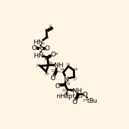 C=CCNS(=O)(=O)NC(=O)C1(NC(=O)[C@@H]2CCCN2C(=O)[C@H](CCCCCCC)NC(=O)OC(C)(C)C)CC1